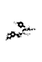 CC(C)(C)OC(=O)N[C@@H](Cc1ccc(C(F)(F)F)cc1)CN(C(=O)O)c1ncc(-c2ccc3cnc(F)cc3c2)s1